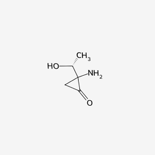 C[C@@H](O)C1(N)CC1=O